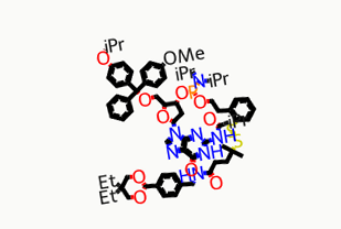 CCC1(CC)COC(c2ccc(CNC(=O)CCC(C)(C)SSc3ccccc3CCOP(OC3CC(n4cnc5c(=O)[nH]c(NC(=O)C(C)C)nc54)OC3COC(c3ccccc3)(c3ccc(OC)cc3)c3ccc(OC(C)C)cc3)N(C(C)C)C(C)C)cc2)OC1